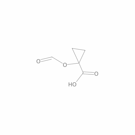 O=COC1(C(=O)O)CC1